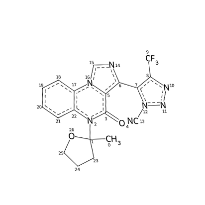 CC1(n2c(=O)c3c(-c4c(C(F)(F)F)nnn4C#N)ncn3c3ccccc32)CCCO1